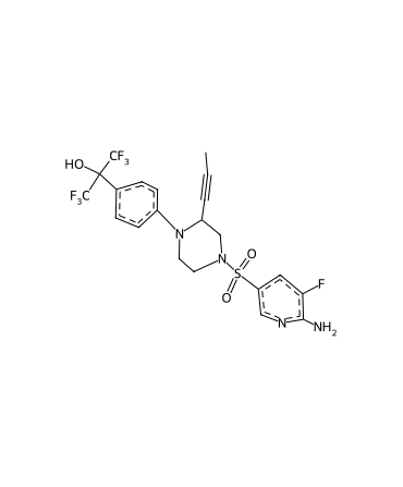 CC#CC1CN(S(=O)(=O)c2cnc(N)c(F)c2)CCN1c1ccc(C(O)(C(F)(F)F)C(F)(F)F)cc1